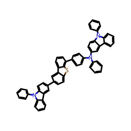 c1ccc(N(c2ccc(-c3cccc4c3sc3ccc(-c5ccc6c(c5)c5ccccc5n6-c5ccccc5)cc34)cc2)c2ccc3c(c2)c2ccccc2n3-c2ccccc2)cc1